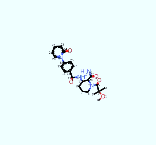 COC(C)(C)C(=O)N1CC[CH]C(NC(=O)c2ccc(-n3ccccc3=O)cc2)C1C(N)=O